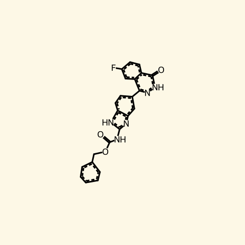 O=C(Nc1nc2cc(-c3n[nH]c(=O)c4ccc(F)cc34)ccc2[nH]1)OCc1ccccc1